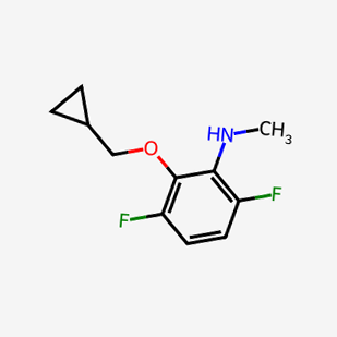 CNc1c(F)ccc(F)c1OCC1CC1